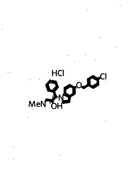 CNC[C@@H](O)[C@H](c1ccccc1)n1ccc2cc(OCc3ccc(Cl)cc3)ccc21.Cl